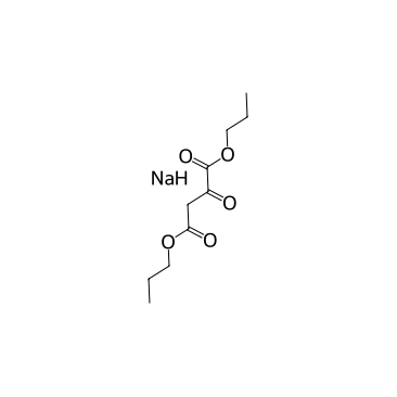 CCCOC(=O)CC(=O)C(=O)OCCC.[NaH]